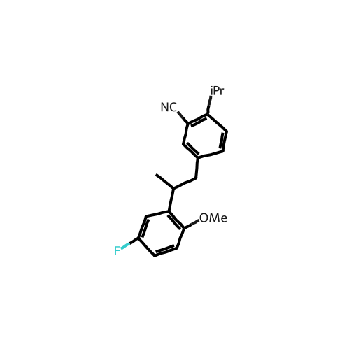 COc1ccc(F)cc1C(C)Cc1ccc(C(C)C)c(C#N)c1